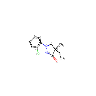 CCC1(C)CN(c2ccccc2Cl)NC1=O